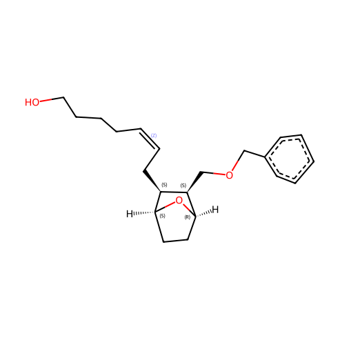 OCCCC/C=C\C[C@H]1[C@@H](COCc2ccccc2)[C@H]2CC[C@@H]1O2